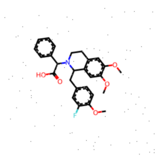 COc1ccc(CC2c3cc(OC)c(OC)cc3CCN2C(C(=O)O)c2ccccc2)cc1F